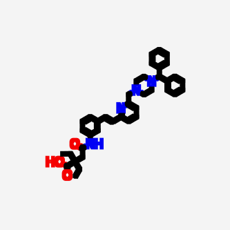 CCC(CC)(CC(=O)Nc1cccc(C=Cc2cccc(CN3CCN(C(c4ccccc4)c4ccccc4)CC3)n2)c1)C(=O)O